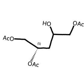 CC(=O)OCC(O)C[C@@H](COC(C)=O)OC(C)=O